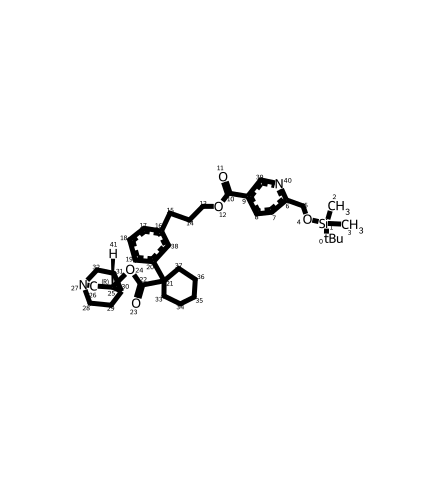 CC(C)(C)[Si](C)(C)OCc1ccc(C(=O)OCCCc2cccc(C3(C(=O)O[C@H]4CN5CCC4CC5)CCCCC3)c2)cn1